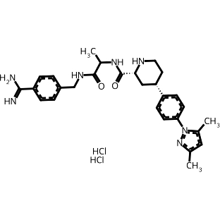 Cc1cc(C)n(-c2ccc([C@H]3CCN[C@@H](C(=O)NC(C)C(=O)NCc4ccc(C(=N)N)cc4)C3)cc2)n1.Cl.Cl